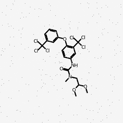 COC(CN(C)C(=O)Nc1ccc(Oc2cccc(C(Cl)(Cl)Cl)c2)c(C(Cl)(Cl)Cl)c1)OC